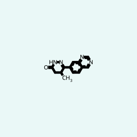 CC1CC(=O)NN=C1c1ccc2cncnc2c1